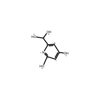 Oc1cc(O)nc(C(O)O)c1